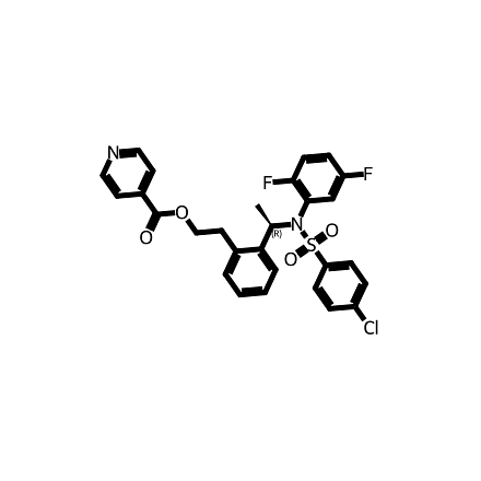 C[C@H](c1ccccc1CCOC(=O)c1ccncc1)N(c1cc(F)ccc1F)S(=O)(=O)c1ccc(Cl)cc1